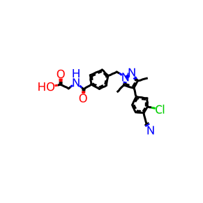 Cc1nn(Cc2ccc(C(=O)NCC(=O)O)cc2)c(C)c1-c1ccc(C#N)c(Cl)c1